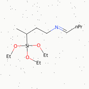 CCCC=NCCC(C)[Si](OCC)(OCC)OCC